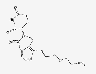 NCCOCCSc1cccc2c1CN(C1CCC(=O)NC1=O)C2=O